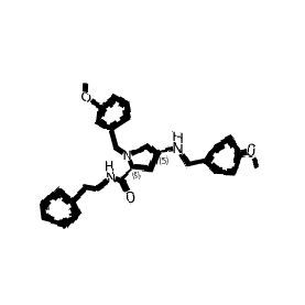 COc1ccc(CN[C@H]2C[C@@H](C(=O)NCCc3ccccc3)N(Cc3cccc(OC)c3)C2)cc1